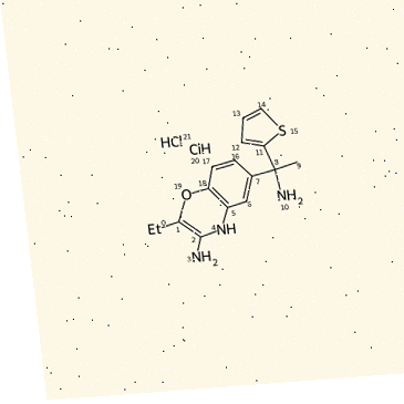 CCC1=C(N)Nc2cc(C(C)(N)c3cccs3)ccc2O1.Cl.Cl